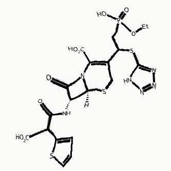 CCOP(=O)(O)CC(Sc1nnn[nH]1)C1=C(C(=O)O)N2C(=O)[C@@H](NC(=O)C(C(=O)O)c3cccs3)[C@@H]2SC1